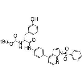 CC(C)(C)OC(=O)N[C@H](Cc1cccc(O)c1)C(=O)Nc1ccc(-c2ccnc3c2ccn3S(=O)(=O)c2ccccc2)cc1